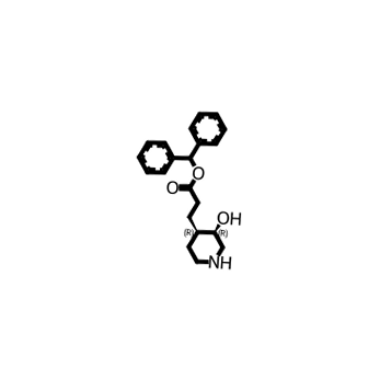 O=C(CC[C@@H]1CCNC[C@@H]1O)OC(c1ccccc1)c1ccccc1